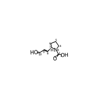 O=C(O)N1CCC[C@@H]1C=CCO